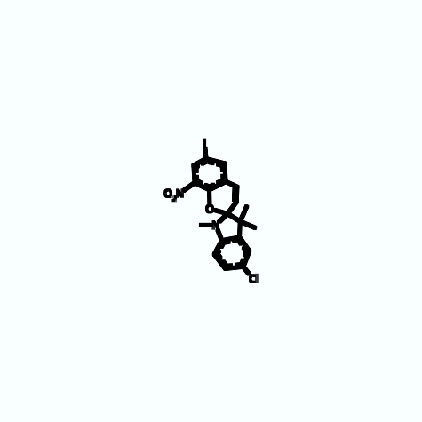 CN1c2ccc(Cl)cc2C(C)(C)C12C=Cc1cc(I)cc([N+](=O)[O-])c1O2